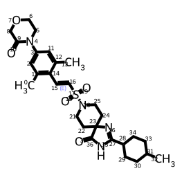 Cc1cc(N2CCOCC2=O)cc(C)c1/C=C/S(=O)(=O)N1CCC2(CC1)N=C(C1CCC(C)CC1)NC2=O